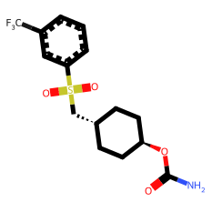 NC(=O)O[C@H]1CC[C@H](CS(=O)(=O)c2cccc(C(F)(F)F)c2)CC1